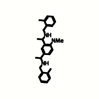 CNc1ccc(C(C)NCc2ccccc2C)cc1C(C)NCc1ccccc1C